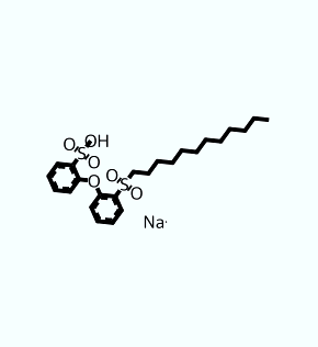 CCCCCCCCCCCCS(=O)(=O)c1ccccc1Oc1ccccc1S(=O)(=O)O.[Na]